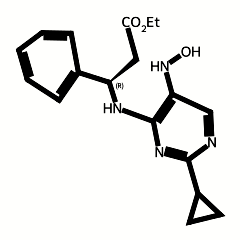 CCOC(=O)C[C@@H](Nc1nc(C2CC2)ncc1NO)c1ccccc1